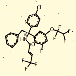 O=C(C=CC(F)(F)F)N[C@@](Cc1ccccc1)(c1cc(F)cc(OC(F)(F)C(F)F)c1)c1ccc(Cl)cn1